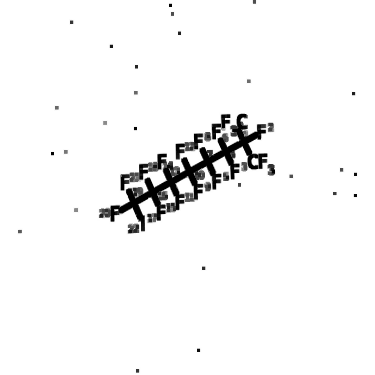 FC(F)(F)C(F)(C(F)(F)F)C(F)(F)C(F)(F)C(F)(F)C(F)(F)C(F)(F)C(F)(F)I